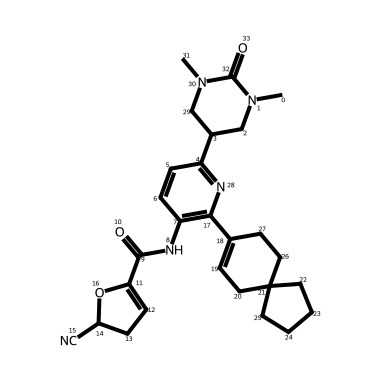 CN1CC(c2ccc(NC(=O)C3=CCC(C#N)O3)c(C3=CCC4(CCCC4)CC3)n2)CN(C)C1=O